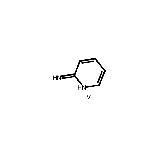 N=c1cccc[nH]1.[V]